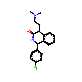 CN(C)CCC1C(=O)NC(c2ccc(Cl)cc2)c2ccccc21